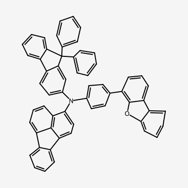 c1ccc(C2(c3ccccc3)c3ccccc3-c3ccc(N(c4ccc(-c5cccc6c5oc5ccccc56)cc4)c4ccc5c6c(cccc46)-c4ccccc4-5)cc32)cc1